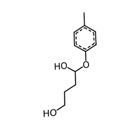 Cc1ccc(OC(O)CCCO)cc1